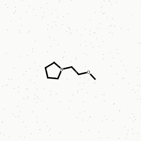 COCCN1[C]CCC1